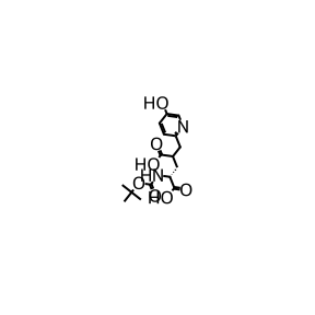 CC(C)(C)OC(=O)N[C@H](CC(Cc1ccc(O)cn1)C(=O)O)C(=O)O